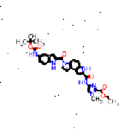 CCOC(=O)c1nc(NC(=O)c2cc3c4c(ccc3[nH]2)N(C(=O)c2cc3cc(NC(=O)OC(C)(C)C)ccc3[nH]2)CC4)cn1C